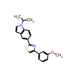 COc1cccc(-c2csc(-c3ccc4c(ccn4C(C)C)c3)n2)c1